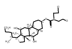 C[C@H](CCC(=O)O)[C@H]1CC[C@H]2[C@@H]3[C@H](O)C[C@@H]4C[C@H](OC(=O)N(CCCl)CCCl)CC[C@]4(C)[C@H]3C[C@H](O)[C@]12C